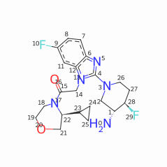 N[C@@H]1CN(c2nc3ccc(F)cc3n2CC(=O)N2CCOC[C@@H]2C2CC2)CC[C@H]1F